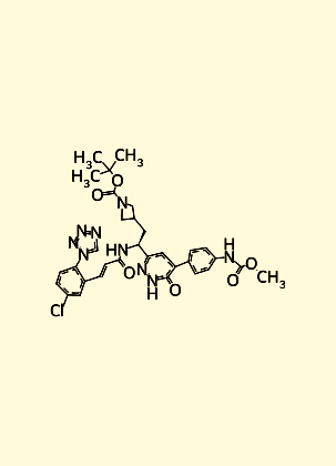 COC(=O)Nc1ccc(-c2cc([C@H](CC3CN(C(=O)OC(C)(C)C)C3)NC(=O)/C=C/c3cc(Cl)ccc3-n3cnnn3)n[nH]c2=O)cc1